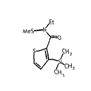 CCN(SC)C(=O)c1sccc1[Si](C)(C)C